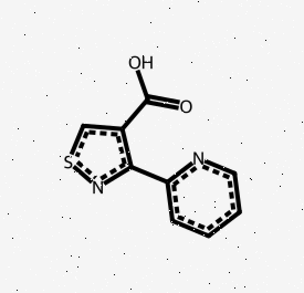 O=C(O)c1csnc1-c1ccccn1